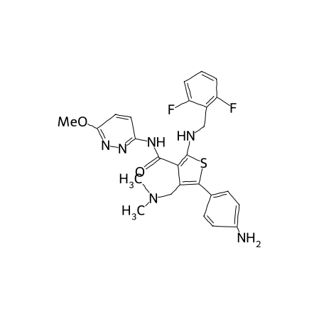 COc1ccc(NC(=O)c2c(NCc3c(F)cccc3F)sc(-c3ccc(N)cc3)c2CN(C)C)nn1